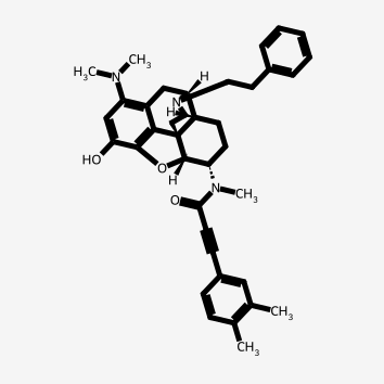 Cc1ccc(C#CC(=O)N(C)[C@H]2CC[C@H]3[C@H]4Cc5c(N(C)C)cc(O)c6c5[C@@]3(CCN4CCc3ccccc3)[C@H]2O6)cc1C